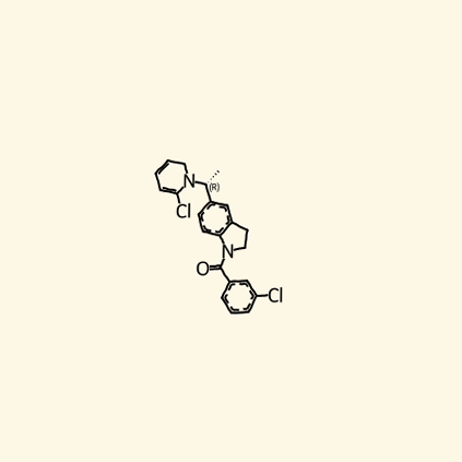 C[C@H](c1ccc2c(c1)CCN2C(=O)c1cccc(Cl)c1)N1CC=CC=C1Cl